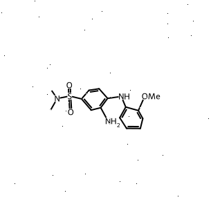 COc1ccccc1Nc1ccc(S(=O)(=O)N(C)C)cc1N